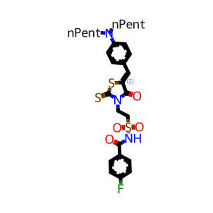 CCCCCN(CCCCC)c1ccc(/C=C2\SC(=S)N(CCS(=O)(=O)NC(=O)c3ccc(F)cc3)C2=O)cc1